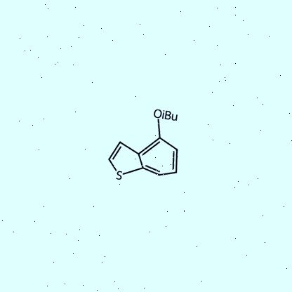 CC(C)COc1cccc2sccc12